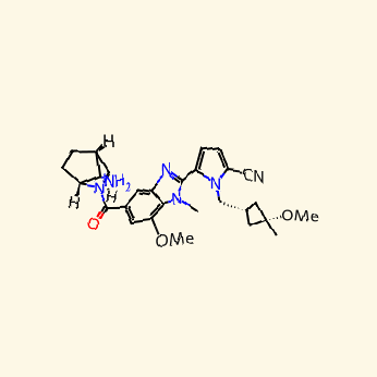 COc1cc(C(=O)N2C[C@H]3CC[C@@H]2[C@@H]3N)cc2nc(-c3ccc(C#N)n3C[C@H]3C[C@@](C)(OC)C3)n(C)c12